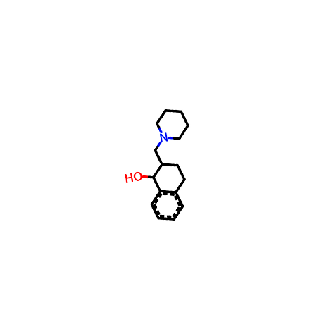 OC1c2ccccc2CCC1CN1CCCCC1